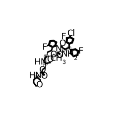 COC(=O)N(C(=O)[C@@H](N)[C@H](c1cccc(F)c1)c1ccc(Cl)c(F)c1)c1cccc(F)c1CC[C@@H]1CN[C@H](COC(=O)N[C@@H]2CCCOC2)CO1